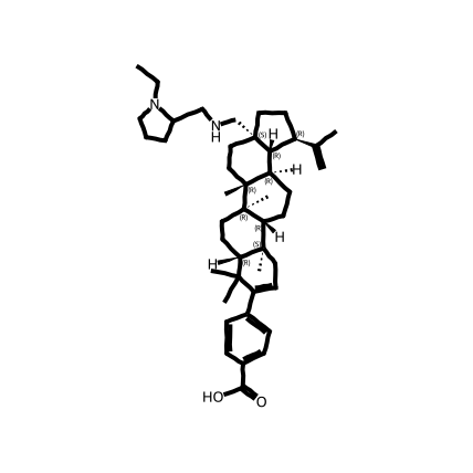 C=C(C)[C@@H]1CC[C@]2(CNCC3CCCN3CC)CC[C@]3(C)[C@H](CC[C@@H]4[C@@]5(C)CC=C(c6ccc(C(=O)O)cc6)C(C)(C)[C@@H]5CC[C@]43C)[C@@H]12